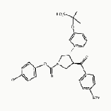 CSc1ccc(C(=O)[C@H]2CN(C(=O)Oc3ccc(Cl)cc3)C[C@@H]2c2cccc(OC(C)(C)C(=O)O)c2)cc1